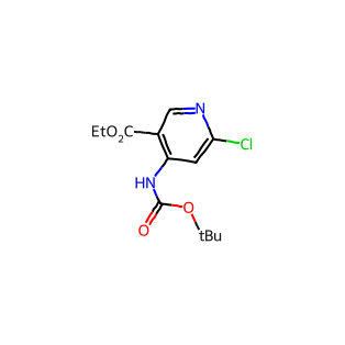 CCOC(=O)c1cnc(Cl)cc1NC(=O)OC(C)(C)C